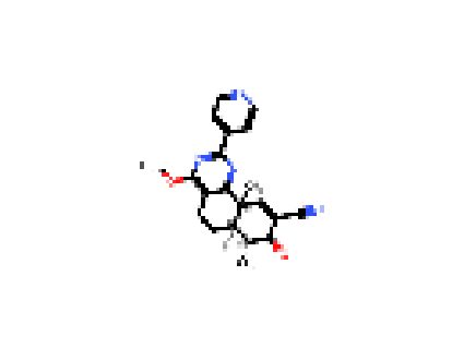 COc1nc(-c2ccncc2)nc2c1CC[C@@H]1[C@@H](C)C(=O)C(C#N)=C[C@@]21C